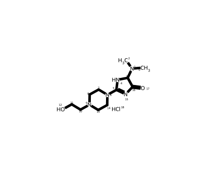 CN(C)C1NC(N2CCN(CCO)CC2)=NC1=O.Cl